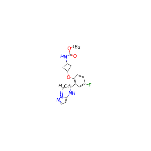 C[C@@H](Nc1ccn[nH]1)c1cc(F)ccc1OC1CC(NC(=O)OC(C)(C)C)C1